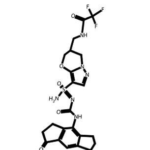 NS(=O)(=NC(=O)Nc1c2c(cc3c1CCC3=O)CCC2)c1cnn2c1OCC(CNC(=O)C(F)(F)F)C2